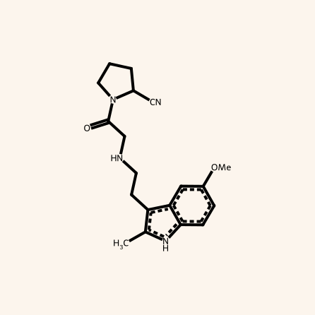 COc1ccc2[nH]c(C)c(CCNCC(=O)N3CCCC3C#N)c2c1